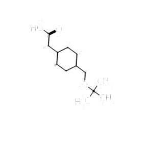 CC(C)(C)OCC1CCC(CC(=O)O)CC1